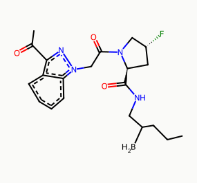 BC(CCC)CNC(=O)[C@@H]1C[C@@H](F)CN1C(=O)Cn1nc(C(C)=O)c2ccccc21